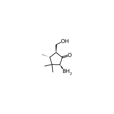 B[C@@H]1C(=O)[C@H](CO)[C@@H](C)C1(C)C